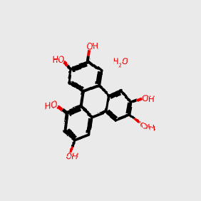 O.Oc1cc(O)c2c(c1)c1cc(O)c(O)cc1c1cc(O)c(O)cc12